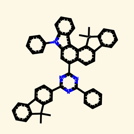 CC1(C)c2ccccc2-c2ccc(-c3nc(-c4ccccc4)nc(-c4cc5c(c6ccccc6n5-c5ccccc5)c5c6c(ccc45)-c4ccccc4[Si]6(C)C)n3)cc21